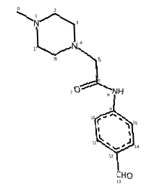 CN1CCN(CC(=O)Nc2ccc(C=O)cc2)CC1